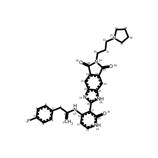 C=C(Cc1ccc(F)cc1)Nc1cc[nH]c(=O)c1-c1nc2cc3c(cc2[nH]1)C(=O)N(CCCN1CCCC1)C3=O